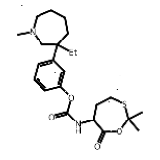 CCC1(c2cccc(OC(=O)NC3CCSC(C)(C)OC3=O)c2)CCCCN(C)C1